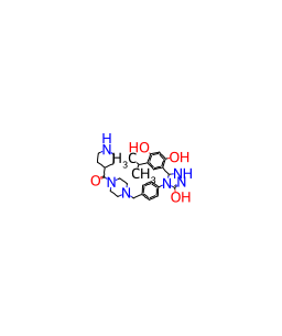 CC(C)c1cc(C2NN=C(O)N2c2ccc(CN3CCN(C(=O)C4CCNCC4)CC3)cc2)c(O)cc1O